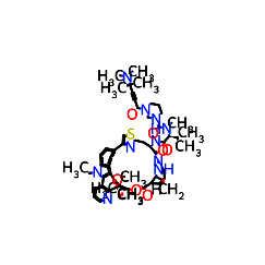 C=CC1NN2CCC[C@H]1C(=O)OCC(C)(C)Cc1c(-c3cccnc3[C@H](C)OC)n(CC)c3ccc(cc13)-c1csc(n1)C[C@H](NC(=O)[C@H](C(C)C)N(C)C(=O)N1CCCN(C(=O)C#CC(C)(C)N(C)C)C1)C2=O